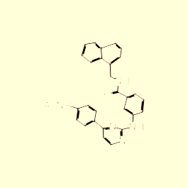 CC(=O)Nc1ccc(-c2ccnc(Nc3cccc(C(=O)NCc4cccc5ccccc45)c3)n2)cc1